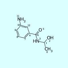 CC(O)NC(=O)c1cccc(N)c1